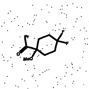 COC1(C(=O)C(C)C)CCC(F)(F)CC1